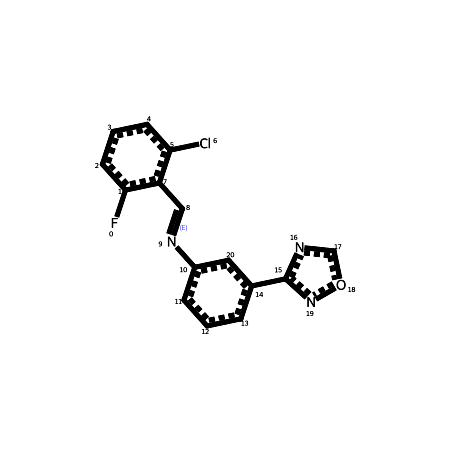 Fc1cccc(Cl)c1/C=N/c1cccc(-c2ncon2)c1